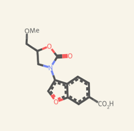 COCC1CN(c2coc3cc(C(=O)O)ccc23)C(=O)O1